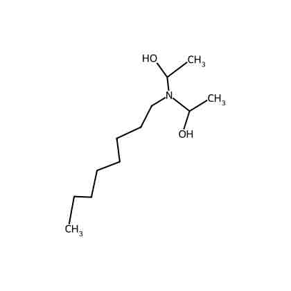 CCCCCCCCN(C(C)O)C(C)O